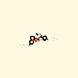 COc1ccc(CCN2C(=O)NCC2(NS(=O)(=O)Cc2ccccc2)c2ccc(OC)cc2)cc1